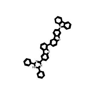 C1=Cc2c(n(-c3ccc4c(c3)sc3ccc(-c5cccc6c5sc5ccc(C7=NC(c8ccccc8)NC(c8ccccc8)=N7)cc56)cc34)c3ccccc23)CC1